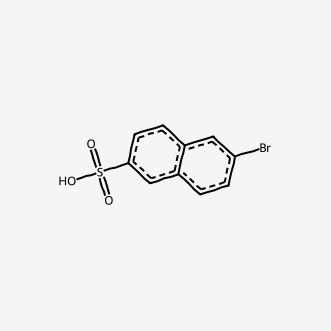 O=S(=O)(O)c1ccc2cc(Br)ccc2c1